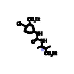 CCOC(=O)/C(C)=C(\C)NC(=O)Nc1ccc(Cl)c(C(=O)OCC)c1